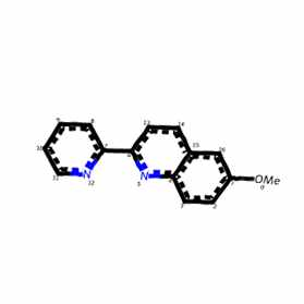 COc1ccc2nc(-c3ccccn3)ccc2c1